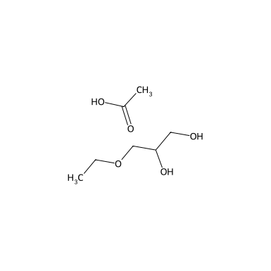 CC(=O)O.CCOCC(O)CO